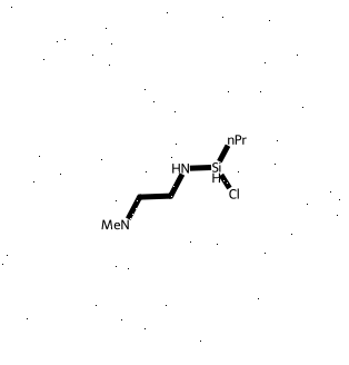 CCC[SiH](Cl)NCCNC